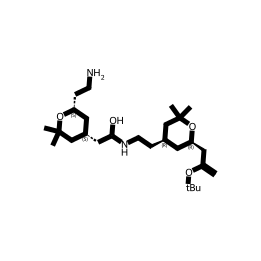 C=C(C[C@H]1C[C@@H](CCNC(O)C[C@H]2C[C@@H](CCN)OC(C)(C)C2)CC(C)(C)O1)OC(C)(C)C